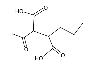 CCCC(C(=O)O)C(C(C)=O)C(=O)O